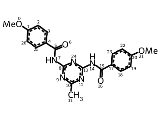 COc1ccc(C(=O)Nc2nc(C)nc(NC(=O)c3ccc(OC)cc3)n2)cc1